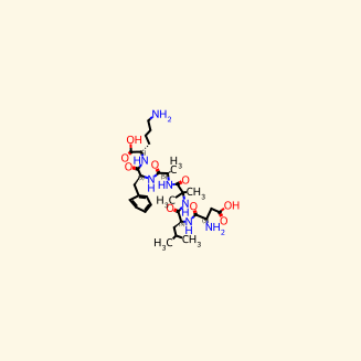 CC(C)C[C@H](NC(=O)[C@@H](N)CC(=O)O)C(=O)NC(C)(C)C(=O)N[C@@H](C)C(=O)N[C@@H](Cc1ccccc1)C(=O)N[C@@H](CCCCN)C(=O)O